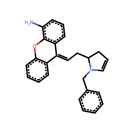 Nc1cccc2c1Oc1ccccc1/C2=C/CC1CC=CN1Cc1ccccc1